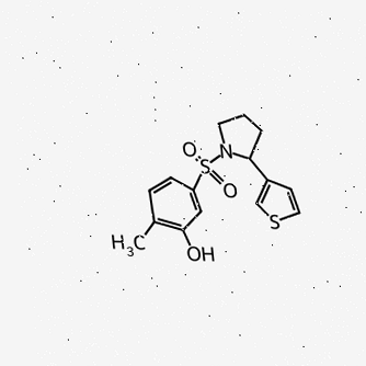 Cc1ccc(S(=O)(=O)N2CCCC2c2ccsc2)cc1O